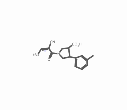 Cc1cccc(C2CN(C(=O)/C(C#N)=C\C(C)(C)C)CC2C(=O)O)c1